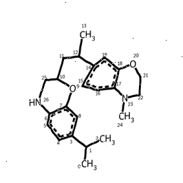 CC(C)c1ccc2c(c1)OC(CC(C)c1ccc3c(c1)OCCN3C)CN2